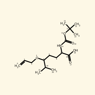 C=CCOC(CCC(NC(=O)OC(C)(C)C)C(=O)O)C(C)C